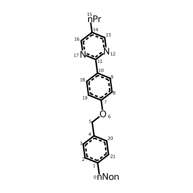 CCCCCCCCCc1ccc(COc2ccc(-c3ncc(CCC)cn3)cc2)cc1